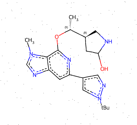 C[C@@H](Oc1nc(-c2cnn(C(C)(C)C)c2)cc2ncn(C)c12)[C@H]1CNC(O)C1